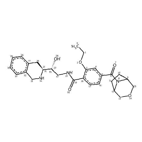 CCOc1cc(C(=O)N2C3CCC2COC3)ccc1C(=O)NC[C@@H](O)[C@@H]1Cc2ccccc2CN1